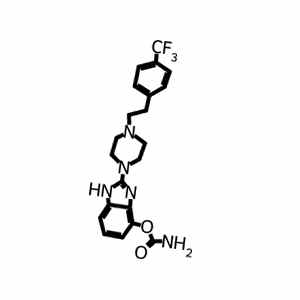 NC(=O)Oc1cccc2[nH]c(N3CCN(CCc4ccc(C(F)(F)F)cc4)CC3)nc12